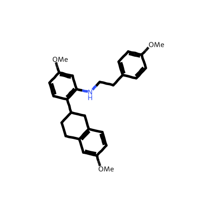 COc1ccc(CCNc2cc(OC)ccc2C2CCc3cc(OC)ccc3C2)cc1